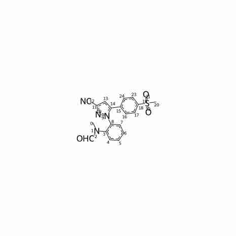 CN(C=O)c1ccccc1-n1nc(C#N)cc1-c1ccc(S(C)(=O)=O)cc1